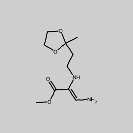 COC(=O)/C(=C/N)NCCC1(C)OCCO1